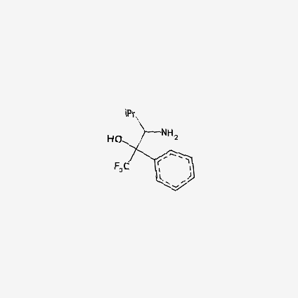 CC(C)C(N)C(O)(c1ccccc1)C(F)(F)F